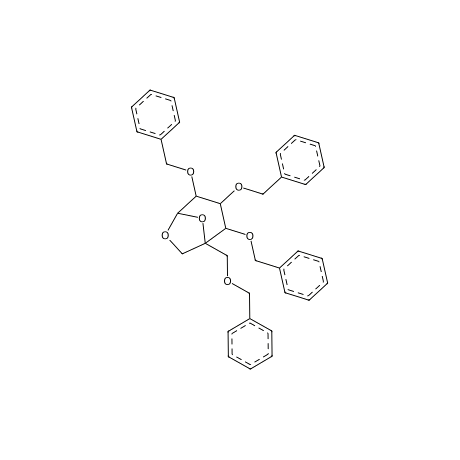 c1ccc(COCC23COC(O2)C(OCc2ccccc2)C(OCc2ccccc2)C3OCc2ccccc2)cc1